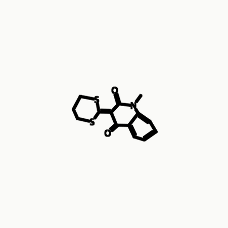 CN1C(=O)C(=C2SCCCS2)C(=O)c2ccccc21